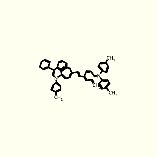 C=C/C=C(\C=C/CN(c1ccc(C)cc1)c1ccc(C)cc1)/C=C/C1=CC=C(N(/C=C(/C2=CCCC=C2)c2ccccc2)c2ccc(C)cc2)C#CC1